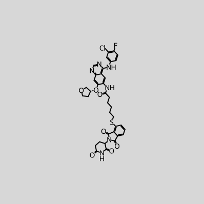 O=C1CCC(N2C(=O)c3cccc(SCCCCCC(=O)Nc4cc5c(Nc6ccc(F)c(Cl)c6)ncnc5cc4O[C@H]4CCOC4)c3C2=O)C(=O)N1